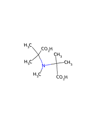 CN(C(C)(C)C(=O)O)C(C)(C)C(=O)O